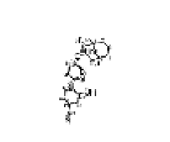 C[C@]12CCC[C@](C)(N1)[C@H](F)[C@H](Oc1ccc(-c3ccc(C#N)cc3O)nn1)C2